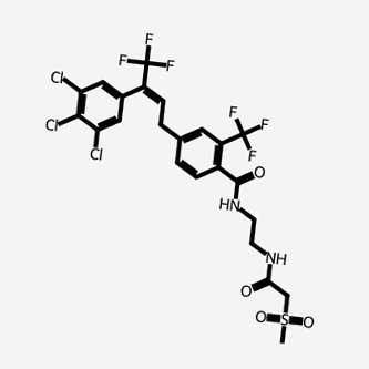 CS(=O)(=O)CC(=O)NCCNC(=O)c1ccc(C/C=C(\c2cc(Cl)c(Cl)c(Cl)c2)C(F)(F)F)cc1C(F)(F)F